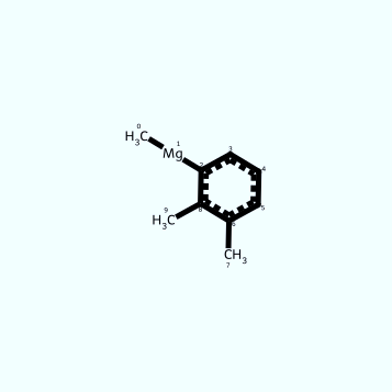 [CH3][Mg][c]1cccc(C)c1C